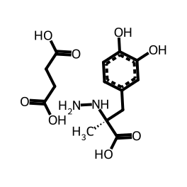 C[C@@](Cc1ccc(O)c(O)c1)(NN)C(=O)O.O=C(O)CCC(=O)O